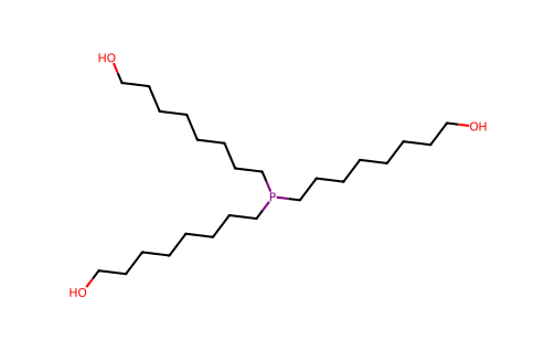 OCCCCCCCCP(CCCCCCCCO)CCCCCCCCO